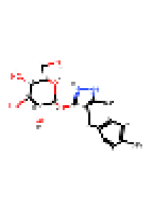 CC(C)c1ccc(Cc2c(O[C@@H]3O[C@H](CO)[C@@H](O)[C@H](O)[C@H]3O)n[nH]c2C(C)C)cc1